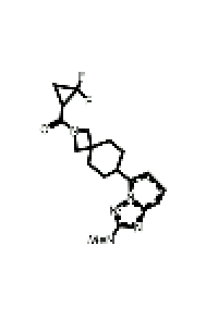 CNc1nc2cccc(C3CCC4(CC3)CN(C(=O)C3CC3(F)F)C4)n2n1